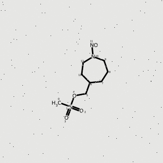 CS(=O)(=O)OCC1CCCN(N=O)CC1